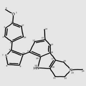 COc1ccc(-c2sccc2-c2cc(C)cc3c4c([nH]c23)CCN(C)C4)cc1